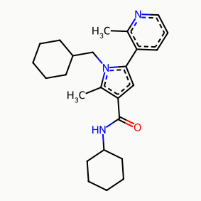 Cc1ncccc1-c1cc(C(=O)NC2CCCCC2)c(C)n1CC1CCCCC1